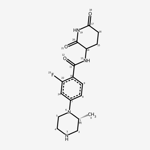 C[C@@H]1CNCCN1c1ccc(C(=O)NC2CCC(=O)NC2=O)c(F)c1